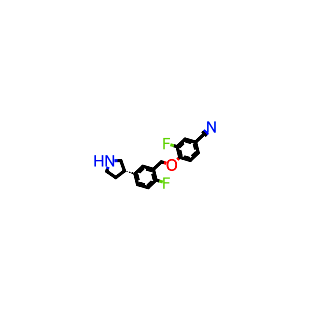 N#Cc1ccc(OCc2cc([C@@H]3CCNC3)ccc2F)c(F)c1